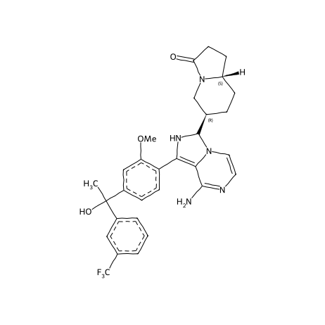 COc1cc(C(C)(O)c2cccc(C(F)(F)F)c2)ccc1C1=C2C(N)=NC=CN2C([C@@H]2CC[C@H]3CCC(=O)N3C2)N1